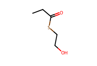 CCC(=O)SCCO